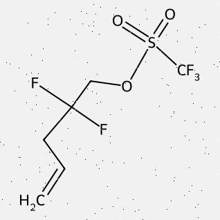 C=CCC(F)(F)COS(=O)(=O)C(F)(F)F